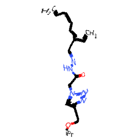 C=C\C=C/C=C(C=C)/C=N/NC(=O)Cn1cc(COC(C)C)nn1